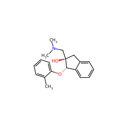 Cc1ccccc1O[C@H]1c2ccccc2C[C@@]1(O)CN(C)C